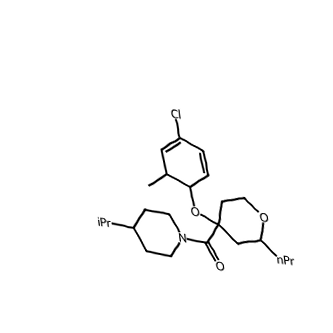 CCCC1CC(OC2C=CC(Cl)=CC2C)(C(=O)N2CCC(C(C)C)CC2)CCO1